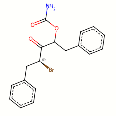 NC(=O)OC(Cc1ccccc1)C(=O)[C@@H](Br)Cc1ccccc1